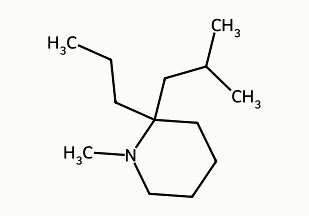 CCCC1(CC(C)C)CCCCN1C